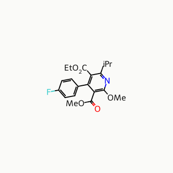 CCOC(=O)c1c(C(C)C)nc(OC)c(C(=O)OC)c1-c1ccc(F)cc1